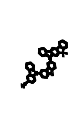 CC1(C)c2ccccc2-c2cc3c4ccccc4n(-c4ccc5sc6ccc(-n7c8ccccc8c8cc(C#N)ccc87)cc6c5c4)c3cc21